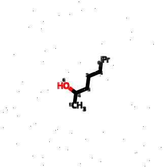 CC(C)[CH]CCC(C)O